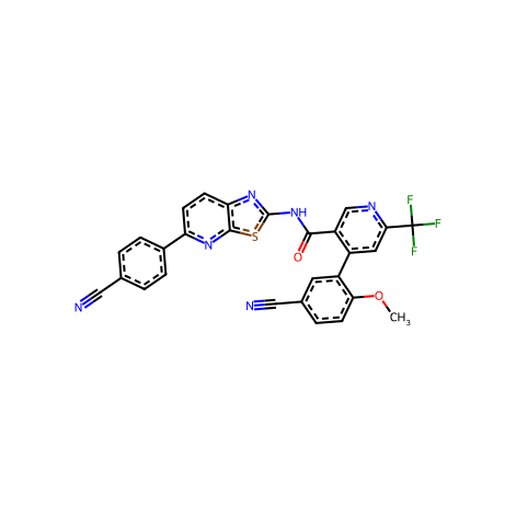 COc1ccc(C#N)cc1-c1cc(C(F)(F)F)ncc1C(=O)Nc1nc2ccc(-c3ccc(C#N)cc3)nc2s1